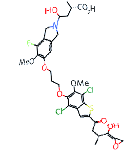 COc1c(OCCCOc2c(OC)c(Cl)c3sc(C(=O)C[C@H](C)/C(O)=C4/CO4)cc3c2Cl)cc2c(c1F)CN(C(O)C[C@H](C)C(=O)O)C2